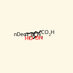 C=C.CCCCCCCCCCCCCCCCCC(=O)O.OCCO